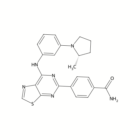 C[C@H]1CCCN1c1cccc(Nc2nc(-c3ccc(C(N)=O)cc3)nc3scnc23)c1